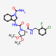 COC1(OC)C[C@@H](C(=O)NCc2cccc(Cl)c2F)N(C(=O)Nc2cn(C(N)=O)c3ccccc23)C1